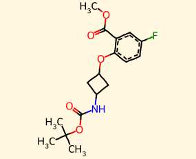 COC(=O)c1cc(F)ccc1OC1CC(NC(=O)OC(C)(C)C)C1